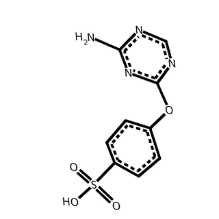 Nc1ncnc(Oc2ccc(S(=O)(=O)O)cc2)n1